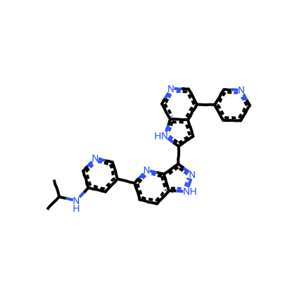 CC(C)Nc1cncc(-c2ccc3[nH]nc(-c4cc5c(-c6cccnc6)cncc5[nH]4)c3n2)c1